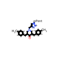 CCCCCn1cc(CN2CC(=Cc3ccc(C)cc3)C(=O)C(=Cc3ccc(C)cc3)C2)nn1